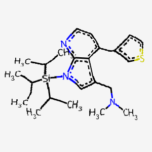 CC(C)[Si](C(C)C)(C(C)C)n1cc(CN(C)C)c2c(-c3ccsc3)ccnc21